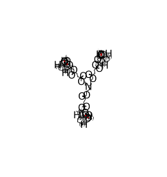 C[C@H]1[C@H](OC(=O)CCC(=O)OCCN(CCOC(=O)CCC(=O)O[C@@H]2O[C@@H]3O[C@]4(C)CC[C@H]5[C@H](C)CC[C@@H]([C@H]2C)[C@@]35OO4)CCOC(=O)CCC(=O)O[C@@H]2O[C@@H]3O[C@]4(C)CC[C@H]5[C@H](C)CC[C@@H]([C@H]2C)[C@@]35OO4)O[C@@H]2O[C@]3(C)CC[C@H]4[C@H](C)CC[C@@H]1[C@@]24OO3